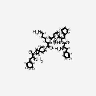 CC(C)CC(NC(=O)C(Cc1ccccc1)NC(=O)C(N)Cc1ccccc1)C(=O)NC(CCCCN)C(=O)N1CCC2(CC1)CN(C(=O)C(N)Cc1ccccc1)C2